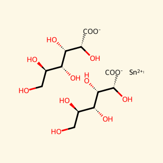 O=C([O-])[C@H](O)[C@@H](O)[C@H](O)[C@H](O)CO.O=C([O-])[C@H](O)[C@@H](O)[C@H](O)[C@H](O)CO.[Sn+2]